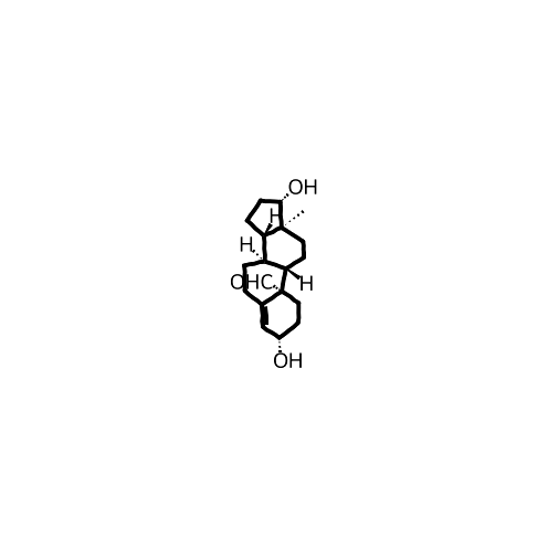 C[C@]12CC[C@H]3[C@@H](CCC4=C[C@@H](O)CC[C@@]43C=O)[C@@H]1CC[C@@H]2O